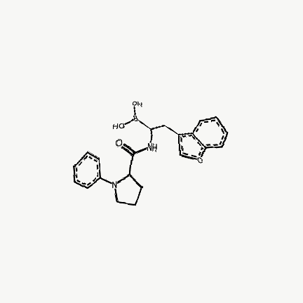 O=C(NC(Cc1coc2ccccc12)B(O)O)C1CCCN1c1ccccc1